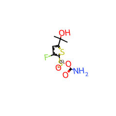 CC(C)(O)c1cc(F)c([S@@](=O)OC(N)=O)s1